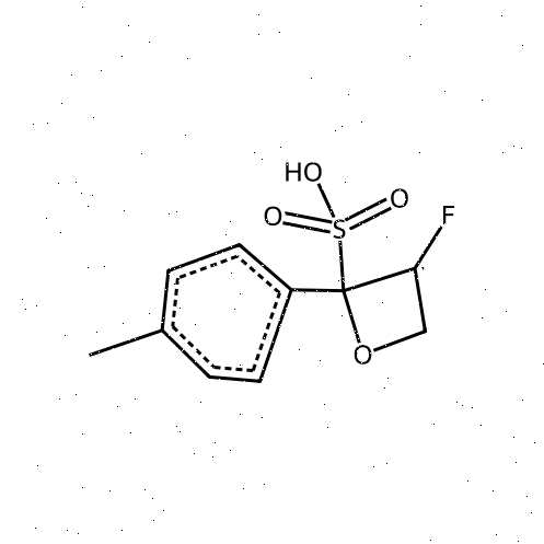 Cc1ccc(C2(S(=O)(=O)O)OC[C]2F)cc1